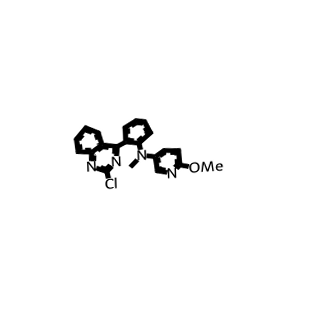 COc1ccc(N(C)c2ccccc2-c2nc(Cl)nc3ccccc23)cn1